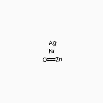 [Ag].[Ni].[O]=[Zn]